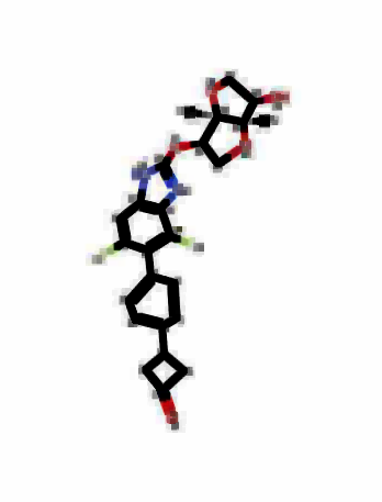 O=C1CC(c2ccc(-c3c(F)cc4[nH]c(O[C@@H]5CO[C@H]6[C@@H]5OC[C@H]6O)nc4c3F)cc2)C1